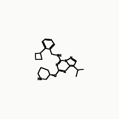 CC(C)c1cnn2c(NCc3ccccc3C3CCC3)nc(O[C@@H]3CCCNC3)nc12